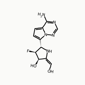 Nc1ncnn2c([C@@H]3N/C(=C/O)[C@@H](O)[C@H]3F)ccc12